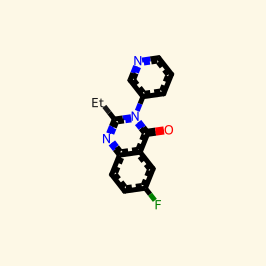 CCc1nc2ccc(F)cc2c(=O)n1-c1cccnc1